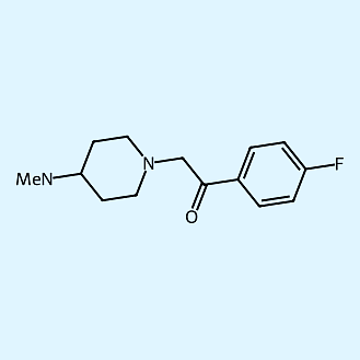 CNC1CCN(CC(=O)c2ccc(F)cc2)CC1